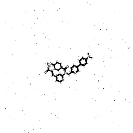 CN(C)c1ccc(-c2ccc(CN(C(=O)C3CCC(O)CC3)c3cc(C=CC(=O)O)ccn3)nc2)cc1